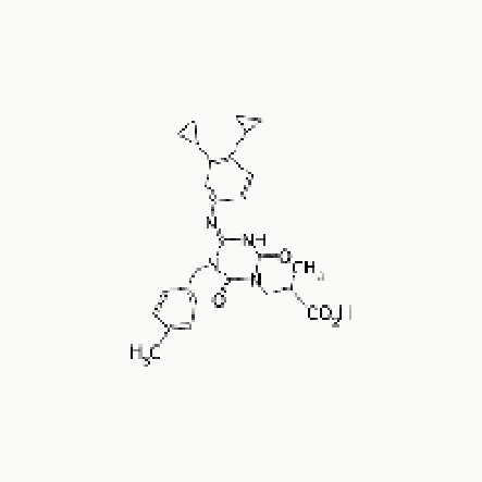 Cc1ccc(Cn2c(=O)n(CC(C)C(=O)O)c(=O)[nH]/c2=N\c2ccc(C3CC3)c(C3CC3)c2)cc1